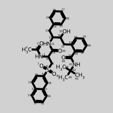 CC(=O)NC(CS(=O)(=O)c1ccc2ccccc2c1)C(=O)NC(Cc1ccccc1)C(O)Cc1ccccc1C(=O)NC(C)(C)C